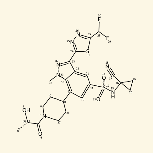 C[C@H](O)C(=O)N1CCC(c2cc(S(=O)(=O)NC3(C#N)CC3)cc3c(-c4nnc(C(F)F)s4)nn(C)c23)CC1